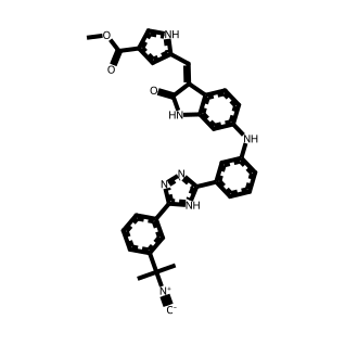 [C-]#[N+]C(C)(C)c1cccc(-c2nnc(-c3cccc(Nc4ccc5c(c4)NC(=O)/C5=C\c4cc(C(=O)OC)c[nH]4)c3)[nH]2)c1